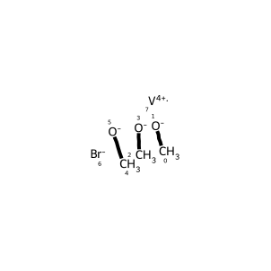 C[O-].C[O-].C[O-].[Br-].[V+4]